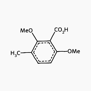 COc1ccc(C)c(OC)c1C(=O)O